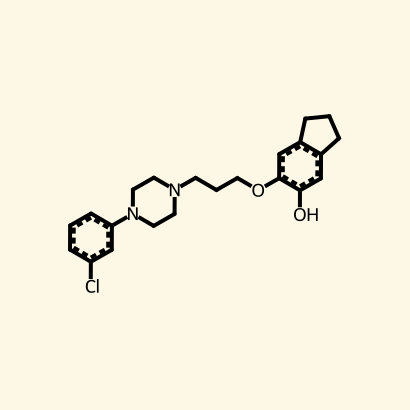 Oc1cc2c(cc1OCCCN1CCN(c3cccc(Cl)c3)CC1)CCC2